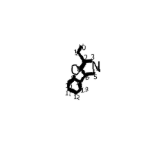 CCc1cncc2c1oc1ccccc12